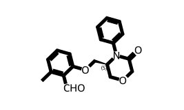 Cc1cccc(OC[C@@H]2COCC(=O)N2c2ccccc2)c1C=O